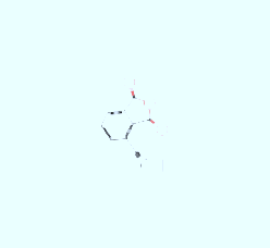 C#Cc1cccc2c1C(=O)OC2=O